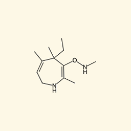 CCC1(C)C(C)=CCNC(C)=C1ONC